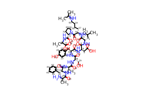 CC(C)C[C@H](NC(=O)[C@@H](CC(=O)O)NC(=O)[C@H](Cc1ccc(O)cc1)NC(=O)[C@H](CO)NC(=O)[C@@H](C)NC(=O)[C@@H](Cc1ccccc1)NC(=O)[C@@H](C)N)C(=O)N[C@@H](CCCCNC(C)C)C(=O)N1CCC[C@H]1C(=O)N[C@H](C)C(=O)O